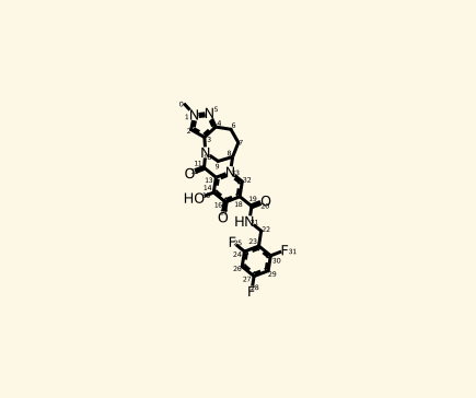 Cn1cc2c(n1)CCC1CN2C(=O)c2c(O)c(=O)c(C(=O)NCc3c(F)cc(F)cc3F)cn21